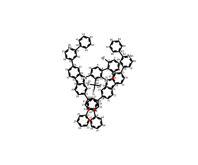 Fc1cccc(F)c1-c1ccc(-n2c3cc(-c4ccnc(-c5ccccc5)c4)ccc3c3ccc(-c4ccnc(-c5ccccc5)c4)cc32)c(C(F)(F)F)c1-n1c2cc(-c3ccnc(-c4ccccc4)c3)ccc2c2ccc(-c3ccnc(-c4ccccc4)c3)cc21